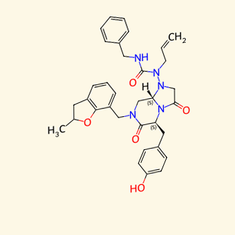 C=CCN(C(=O)NCc1ccccc1)N1CC(=O)N2[C@@H](Cc3ccc(O)cc3)C(=O)N(Cc3cccc4c3OC(C)C4)C[C@@H]21